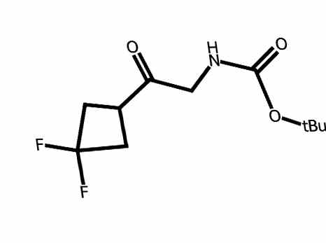 CC(C)(C)OC(=O)NCC(=O)C1CC(F)(F)C1